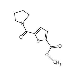 COC(=O)c1ccc(C(=O)N2CCCC2)s1